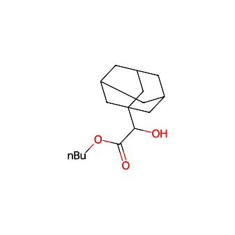 CCCCOC(=O)C(O)C12CC3CC(CC(C3)C1)C2